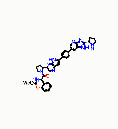 COC(=O)N[C@@H](C(=O)N1CCCC1c1cnc2cc(-c3ccc(-c4cnc5nc([C@@H]6CCCN6)[nH]c5c4)cc3)[nH]c2n1)c1ccccc1